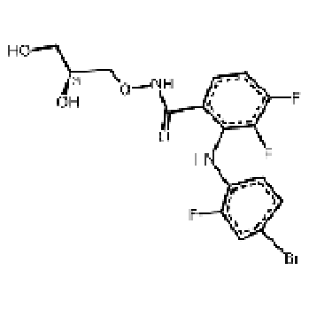 O=C(NOC[C@@H](O)CO)c1ccc(F)c(F)c1Nc1ccc(Br)cc1F